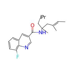 C/C=C(\C)CC(C)(CC(C)C)NC(=O)c1cnc2c(F)cccc2c1